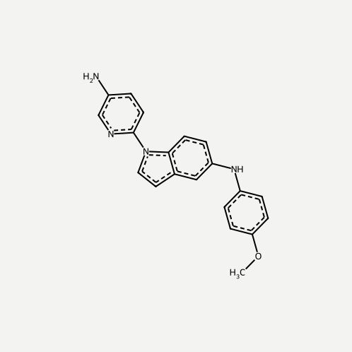 COc1ccc(Nc2ccc3c(ccn3-c3ccc(N)cn3)c2)cc1